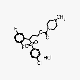 CN1CCN(C(=O)OCCC(c2cc(F)ccc2F)S(=O)(=O)c2ccc(Cl)cc2)CC1.Cl